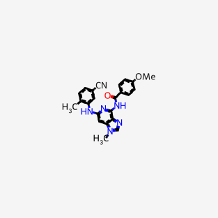 COc1ccc(C(=O)Nc2nc(Nc3cc(C#N)ccc3C)cc3c2ncn3C)cc1